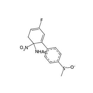 CC(=O)NC1([N+](=O)[O-])CC=C(F)C=C1c1ccc([S+](C)[O-])cc1